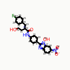 O=C(Nc1ccc(-c2nc3ccc([N+](=O)[O-])cc3n2O)cc1)/C(=C/c1ccc(F)cc1)CCO